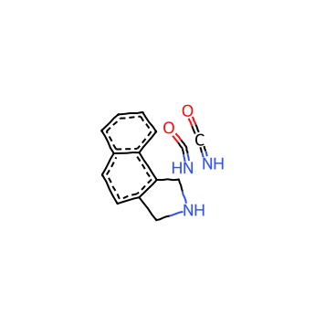 N=C=O.N=C=O.c1ccc2c3c(ccc2c1)CNC3